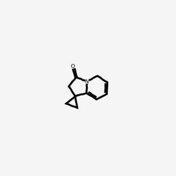 O=C1CC2(CC2)C2=CC=CCN12